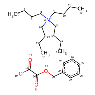 CCCC[N+](CCCC)(CCCC)CCCC.O=C([O-])C(=O)OCc1ccccc1